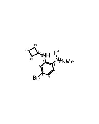 CNN(F)c1ccc(Br)cc1NC1CCC1